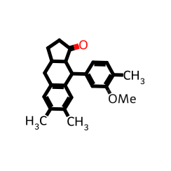 COc1cc(C2c3cc(C)c(C)cc3CC3CCC(=O)C32)ccc1C